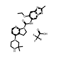 CCOc1cc2nc(C)nn2cc1NC(=O)N1CCc2c(N3CCNC(C)(C)C3)ccnc21.O=C(O)C(F)(F)F